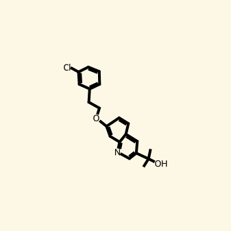 CC(C)(O)c1cnc2cc(OCCc3cccc(Cl)c3)ccc2c1